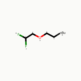 [CH2]CCCCCOCC(F)F